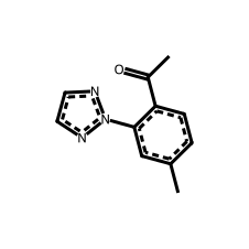 CC(=O)c1ccc(C)cc1-n1nccn1